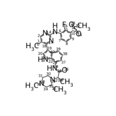 Cc1cnc(Nc2cccc(S(C)(=O)=O)c2F)nc1-c1c[nH]c2c(NC(=O)C(C)N3CCN(C)C[C@H]3C)cccc12